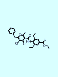 CCOC(=O)c1cc(CC)c(NC(=O)c2c(C)oc(Cc3ccccc3)c(Cl)c2=O)c(CC)c1